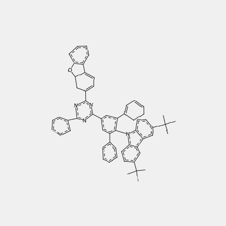 CC(C)(C)c1ccc2c(c1)c1cc(C(C)(C)C)ccc1n2-c1c(C2=CC=CCC2)cc(-c2nc(C3=CC=C4c5ccccc5OC4C3)nc(-c3ccccc3)n2)cc1-c1ccccc1